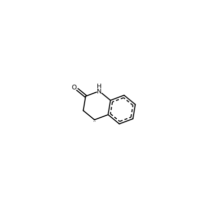 O=C1C[C]c2ccccc2N1